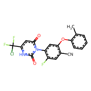 Cc1ccccc1Oc1cc(-n2c(=O)cc(C(F)(F)Cl)[nH]c2=O)c(F)cc1C#N